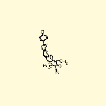 CCN1C(=O)C(C#N)=C(C)/C(=C/c2cc3sc(-c4ccc(Cl)cc4)nc3s2)C1=O